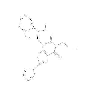 COc1ccccc1[C@H](Cn1c(=O)n(CC(=O)O)c(=O)c2nc(-n3nccn3)sc21)OC(C)C